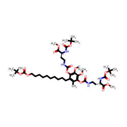 COC(=O)[C@H](CCNC(=O)Oc1c(C)c(CCCCCCCCCCOC(=O)OC(C)(C)C)c(OC(=O)NCC[C@H](NC(=O)OC(C)(C)C)C(=O)OC)c(OC)c1OC)NC(=O)OC(C)(C)C